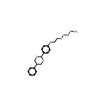 COOOSCCOc1ccc(C2OCC(c3ccccc3)CO2)cc1